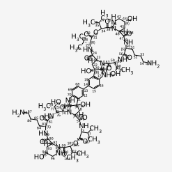 CC(C)C1NC(=O)[C@@H]2C[C@@]3(O)c4cc(-c5ccc6c(c5)[C@]5(O)C[C@H]7C(=O)N[C@H](C(C)C)C(=O)OC(C(C)C)C(=O)N8NC[C@H](O)C[C@@H]8C(=O)N[C@@H](CCCCN)C(=O)N[C@H]([C@H](C)O)C(=O)N7[C@@H]5N6)ccc4N[C@H]3N2C(=O)[C@@H]([C@H](C)O)NC(=O)[C@H](CCCCN)NC(=O)[C@H]2C[C@@H](O)CNN2C(=O)C(C(C)C)OC1=O